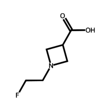 O=C(O)C1CN(CCF)C1